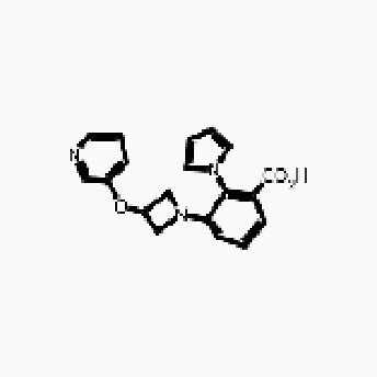 O=C(O)c1cccc(N2CC(Oc3cccnc3)C2)c1-n1cccc1